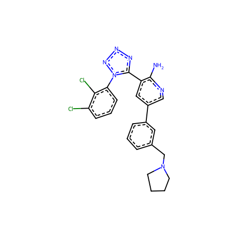 Nc1ncc(-c2cccc(CN3CCCC3)c2)cc1-c1nnnn1-c1cccc(Cl)c1Cl